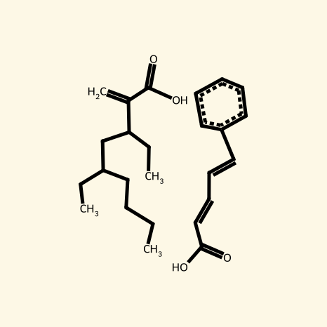 C=C(C(=O)O)C(CC)CC(CC)CCCC.O=C(O)C=CC=Cc1ccccc1